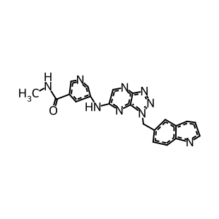 CNC(=O)c1cncc(Nc2cnc3nnn(Cc4ccc5ncccc5c4)c3n2)c1